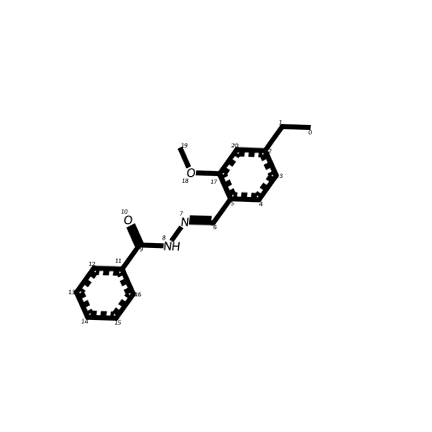 CCc1ccc(/C=N/NC(=O)c2ccccc2)c(OC)c1